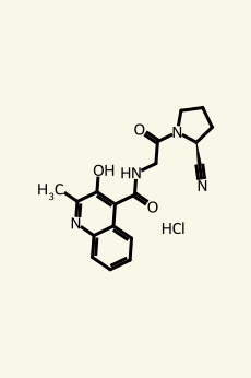 Cc1nc2ccccc2c(C(=O)NCC(=O)N2CCC[C@H]2C#N)c1O.Cl